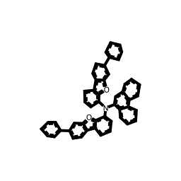 c1ccc(-c2ccc3c(c2)oc2c(N(c4cc5ccccc5c5ccccc45)c4cccc5c4oc4cc(-c6ccccc6)ccc45)cccc23)cc1